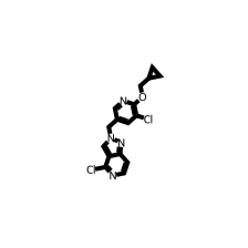 Clc1cc(Cn2cc3c(Cl)nccc3n2)cnc1OCC1CC1